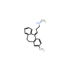 CNCC/C=C1\c2ccccc2CCc2cc(C)ccc21